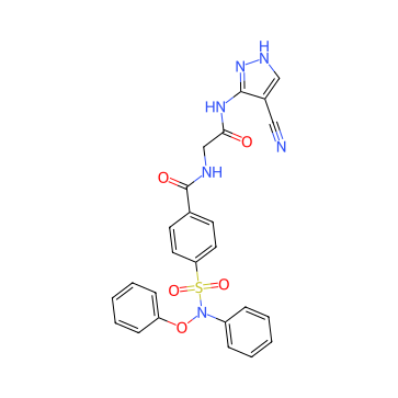 N#Cc1c[nH]nc1NC(=O)CNC(=O)c1ccc(S(=O)(=O)N(Oc2ccccc2)c2ccccc2)cc1